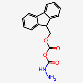 NNC(=O)OC(=O)OCC1c2ccccc2-c2ccccc21